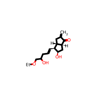 C=C1C[C@H]2[C@H](/C=C/CC(O)COCC)[C@H](O)C[C@@H]2C1=O